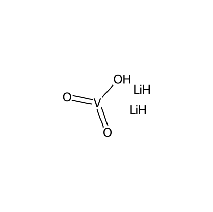 [LiH].[LiH].[O]=[V](=[O])[OH]